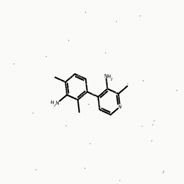 Cc1ccc(-c2ccnc(C)c2N)c(C)c1N